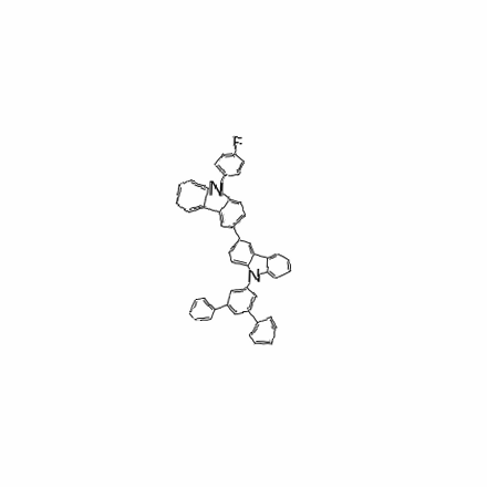 Fc1ccc(-n2c3ccccc3c3cc(-c4ccc5c(c4)c4ccccc4n5-c4cc(-c5ccccc5)cc(-c5ccccc5)c4)ccc32)cc1